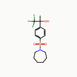 CC(O)(c1ccc(S(=O)(=O)N2CCCCCC2)cc1)C(F)(F)F